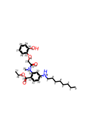 CCCCCCCCNc1ccc(C(=O)OCC)c(N(C)C(=O)COc2ccccc2O)c1